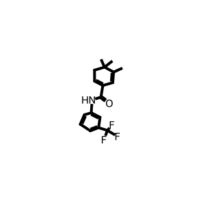 CC1=CC(C(=O)Nc2cccc(C(F)(F)F)c2)=CCC1(C)C